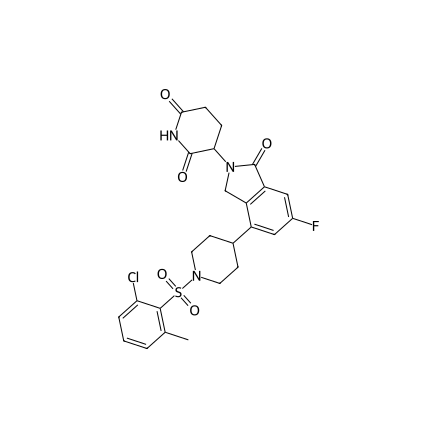 Cc1cccc(Cl)c1S(=O)(=O)N1CCC(c2cc(F)cc3c2CN(C2CCC(=O)NC2=O)C3=O)CC1